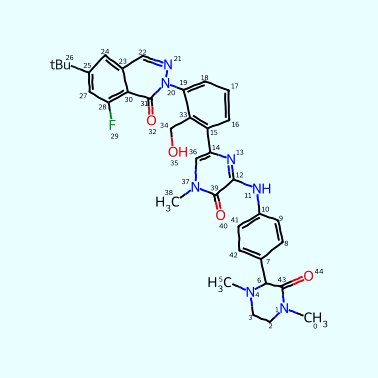 CN1CCN(C)C(c2ccc(Nc3nc(-c4cccc(-n5ncc6cc(C(C)(C)C)cc(F)c6c5=O)c4CO)cn(C)c3=O)cc2)C1=O